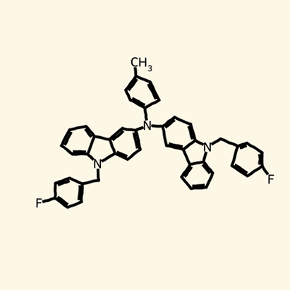 Cc1ccc(N(c2ccc3c(c2)c2ccccc2n3Cc2ccc(F)cc2)c2ccc3c(c2)c2ccccc2n3Cc2ccc(F)cc2)cc1